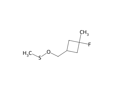 CSOCC1CC(C)(F)C1